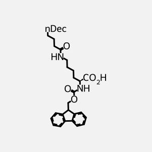 CCCCCCCCCCCCCC(=O)NCCCC[C@H](NC(=O)OCC1c2ccccc2-c2ccccc21)C(=O)O